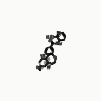 CC[C@@]12CC[C@@]3(CO3)C[C@@H]1CCOc1cc(C(=O)Nc3cccnc3C)ccc12